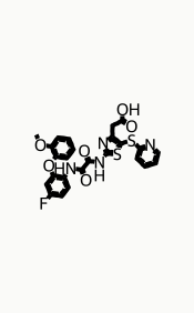 COc1ccccc1Oc1cc(F)ccc1NC(=O)C(=O)Nc1nc(CC(=O)O)c(Sc2ccccn2)s1